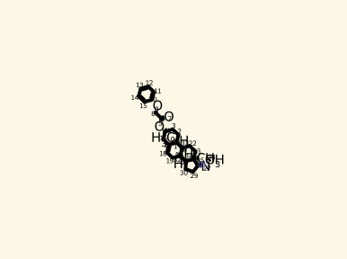 C[C@]12CC[C@H](OC(=O)COc3ccccc3)CC1=CC[C@@H]1[C@@H]2CC[C@]2(C)/C(=N\O)CC[C@@H]12